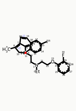 CCN(CCNC(=O)C1=C(/C)CCc2ccc(I)cc2/C=C\1)CCOc1cccnc1F